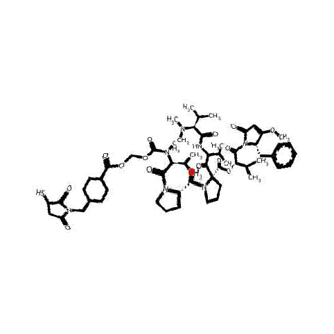 COC1=CC(=O)N(C(=O)[C@@H](OC(=O)[C@]2(C(=O)C(NC(=O)[C@H](C(C)C)N(C)C)C(C)C)CCCN2C(=O)[C@@H]2CCCN2C(=O)[C@H](C(C)C)N(C)C(=O)OCOC(=O)C2CCC(CN3C(=O)CC(S)C3=O)CC2)C(C)C)[C@H]1Cc1ccccc1